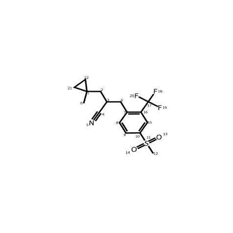 CC1(CC(C#N)Cc2ccc(S(C)(=O)=O)cc2C(F)(F)F)CC1